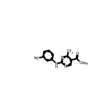 COC(=O)c1cnc(Nc2cccc(C#N)c2)nc1C(F)(F)F